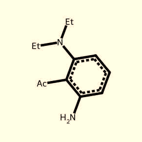 CCN(CC)c1cccc(N)c1C(C)=O